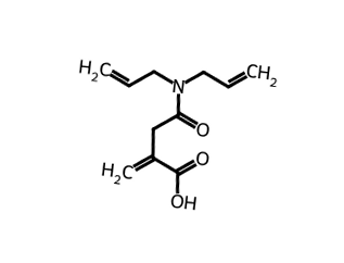 C=CCN(CC=C)C(=O)CC(=C)C(=O)O